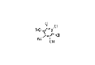 N#Cc1c(Cl)c(Cl)c(Cl)c(C#N)c1C#N